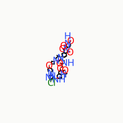 CNC(=O)COc1cc2cc(Nc3nc(N4CCC(O[C@H]5C[C@H](N6CCN(c7ccc8c(c7)C(=O)N(C7CCC(=O)NC7=O)C8=O)C(C)(C)C6)C5)CC4)ncc3Cl)ccc2n(C(C)C)c1=O